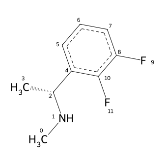 CN[C@H](C)c1cccc(F)c1F